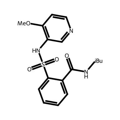 CCC(C)NC(=O)c1ccccc1S(=O)(=O)Nc1cnccc1OC